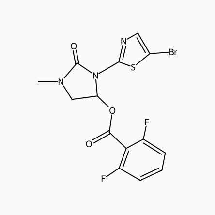 CN1CC(OC(=O)c2c(F)cccc2F)N(c2ncc(Br)s2)C1=O